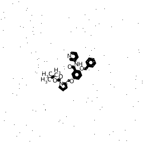 CC(C)(C)OC(=O)N1CCC[C@H]1COc1ccc(OCc2ccccc2)c(C(=O)Nc2cccnc2)c1